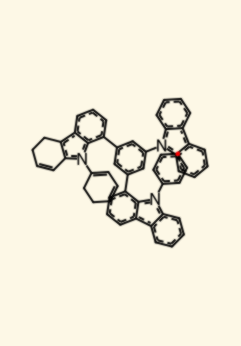 C1=CCCC(n2c3c(c4cccc(-c5cc(-c6cccc7c8ccccc8n(-c8ccccc8)c67)cc(-n6c7ccccc7c7ccccc76)c5)c42)CCC=C3)=C1